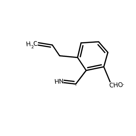 C=CCc1cccc([C]=O)c1[C]=N